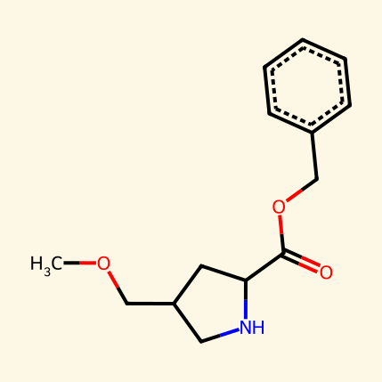 COCC1CNC(C(=O)OCc2ccccc2)C1